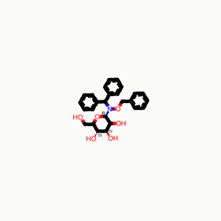 OCC1O[C@@H](N(OCc2ccccc2)C(c2ccccc2)c2ccccc2)C(O)[C@@H](O)[C@@H]1O